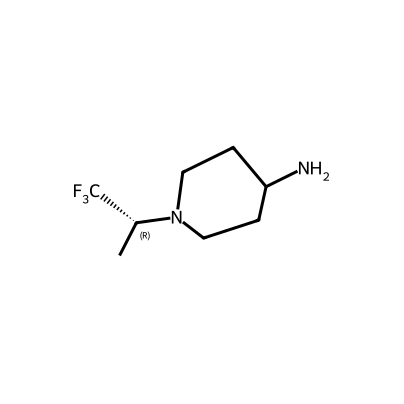 C[C@@H](N1CCC(N)CC1)C(F)(F)F